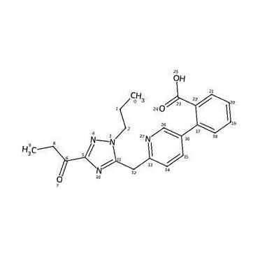 CCCn1nc(C(=O)CC)nc1Cc1ccc(-c2ccccc2C(=O)O)cn1